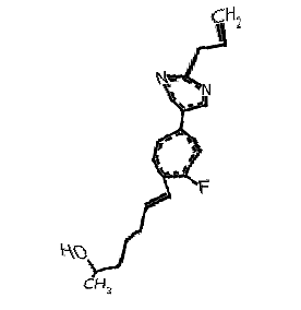 C=CCc1ncc(-c2ccc(C=CCCCC(C)O)c(F)c2)cn1